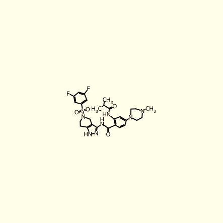 CC(C)C(=O)Nc1cc(N2CCN(C)CC2)ccc1C(=O)Nc1n[nH]c2c1CN(S(=O)(=O)c1cc(F)cc(F)c1)CC2